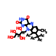 CC(=O)c1c(C(C(C)=O)(C(C)=O)C(C)=O)c(C)cc2nc3c(=O)[nH]c(=O)nc-3n(C[C@@H](O)[C@@H](O)[C@@H](O)CO)c12